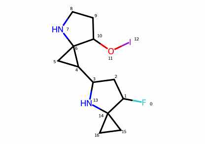 FC1CC(C2CC23NCCC3OI)NC12CC2